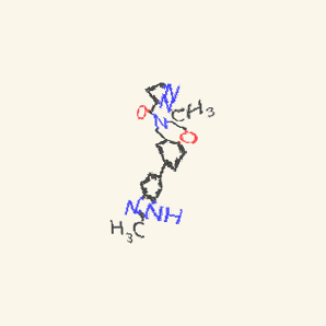 Cc1nc2ccc(-c3ccc4c(c3)CN(C(=O)c3ccnn3C)CCO4)cc2[nH]1